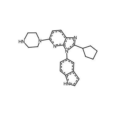 c1cc2cc(-n3c(C4CCCC4)nc4ccc(N5CCNCC5)nc43)ccc2[nH]1